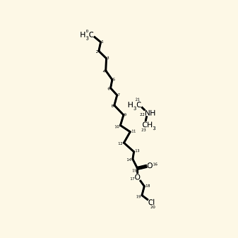 CCCCCCCCCCCCCCCC(=O)OCCCl.CNC